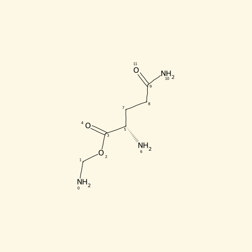 NCOC(=O)[C@@H](N)CCC(N)=O